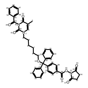 Cc1cn(CCCCCCOC(c2ccccc2)(c2ccccc2)c2ccc(C(=O)ON3C(=O)CCC3=O)cc2)c(=O)n(C(=O)c2ccccc2)c1=O